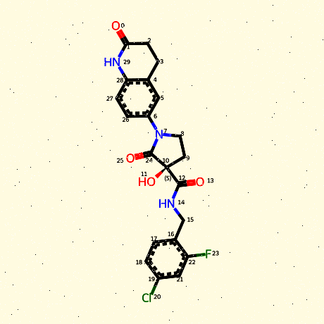 O=C1CCc2cc(N3CC[C@](O)(C(=O)NCc4ccc(Cl)cc4F)C3=O)ccc2N1